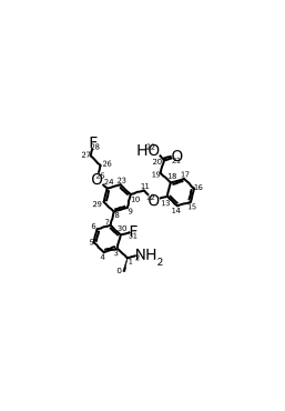 C[C@H](N)c1cccc(-c2cc(COc3ccccc3CC(=O)O)cc(OCCF)c2)c1F